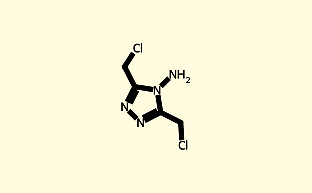 Nn1c(CCl)nnc1CCl